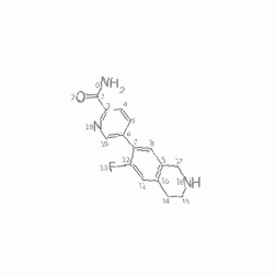 NC(=O)c1ccc(-c2cc3c(cc2F)CCNC3)cn1